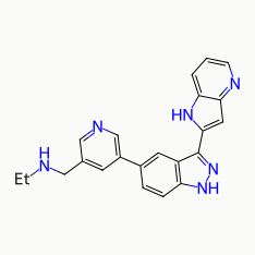 CCNCc1cncc(-c2ccc3[nH]nc(-c4cc5ncccc5[nH]4)c3c2)c1